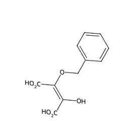 O=C(O)C(O)=C(OCc1ccccc1)C(=O)O